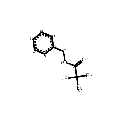 CCC(F)(F)C(=O)OCc1ccccc1